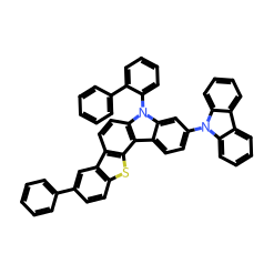 c1ccc(-c2ccc3sc4c(ccc5c4c4ccc(-n6c7ccccc7c7ccccc76)cc4n5-c4ccccc4-c4ccccc4)c3c2)cc1